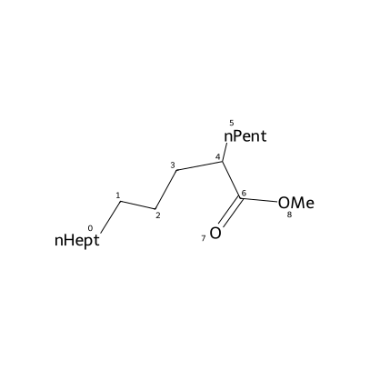 CCCCCCCCCCC(CCCCC)C(=O)OC